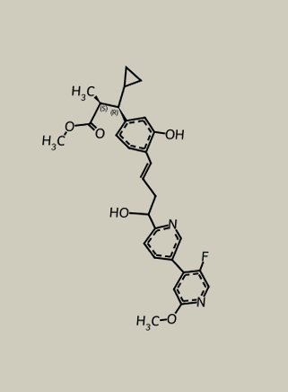 COC(=O)[C@@H](C)[C@H](c1ccc(C=CCC(O)c2ccc(-c3cc(OC)ncc3F)cn2)c(O)c1)C1CC1